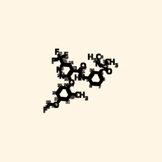 CN=S(C)(=O)c1cccc(NC(=O)c2cc(C(F)(F)F)nnc2Oc2ccc(OCF)cc2C)c1